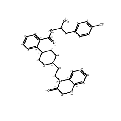 CC(Cc1ccc(Cl)cc1)NC(=O)c1ccccc1C1CCN(CCN2C(=O)COc3ccccc32)CC1